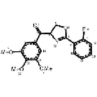 COc1cc(C(=O)C2COC(c3ccccc3F)=N2)cc(OC)c1OC